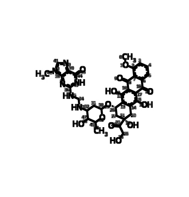 COc1cccc2c1C(=O)c1c(O)c3c(c(O)c1C2=O)C[C@@](O)(C(=O)CO)C[C@@H]3OC1CC(NCNc2nc3c(ncn3C)c(=O)[nH]2)C(O)C(C)O1